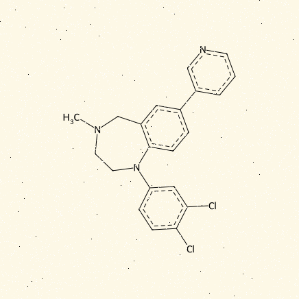 CN1CCN(c2ccc(Cl)c(Cl)c2)c2ccc(-c3cccnc3)cc2C1